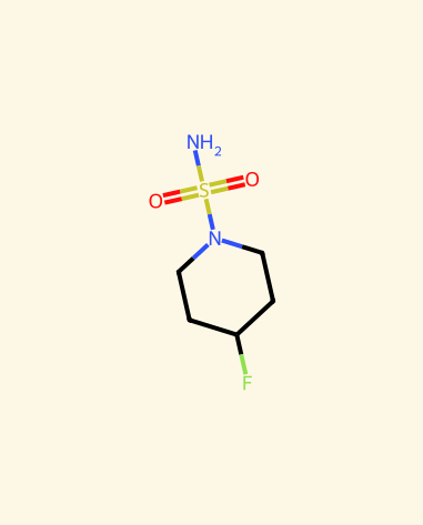 NS(=O)(=O)N1CCC(F)CC1